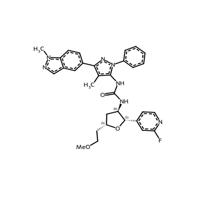 COCC[C@@H]1C[C@@H](NC(=O)Nc2c(C)c(-c3ccc4c(cnn4C)c3)nn2-c2ccccc2)[C@H](c2ccnc(F)c2)O1